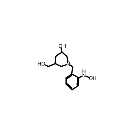 OCC1CC(O)CN(Cc2ccccc2NO)C1